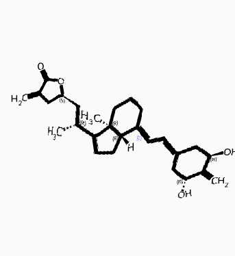 C=C1C[C@H](C[C@@H](C)C2CC[C@H]3/C(=C/C=C4C[C@@H](O)C(=C)[C@H](O)C4)CCC[C@]23C)OC1=O